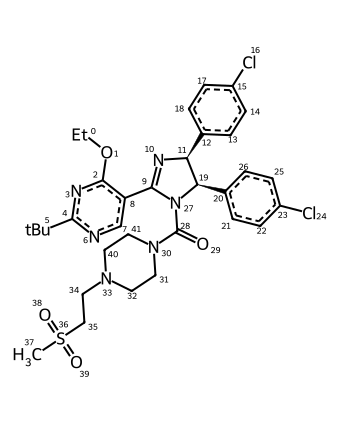 CCOc1nc(C(C)(C)C)ncc1C1=N[C@@H](c2ccc(Cl)cc2)[C@@H](c2ccc(Cl)cc2)N1C(=O)N1CCN(CCS(C)(=O)=O)CC1